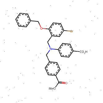 COC(=O)c1ccc(CN(Cc2cc(Br)ccc2OCc2ccccc2)c2ccc(C(=O)O)cc2)cc1